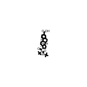 CC(C)(C)NC(=O)N(C(=O)[C@H]1CC[C@H]2[C@@H]3CCc4cc(C(=O)O)ccc4[C@H]3CC[C@]12C)C(C)(C)C